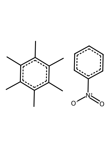 Cc1c(C)c(C)c(C)c(C)c1C.O=[N+]([O-])c1ccccc1